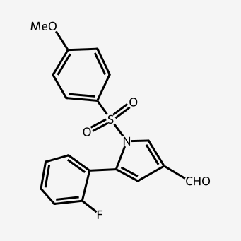 COc1ccc(S(=O)(=O)n2cc(C=O)cc2-c2ccccc2F)cc1